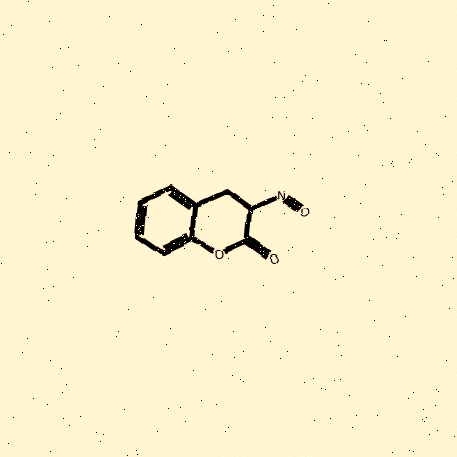 O=NC1Cc2ccccc2OC1=O